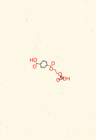 O=C(O)c1ccc(C(=O)OCCO[Si](=O)O)cc1